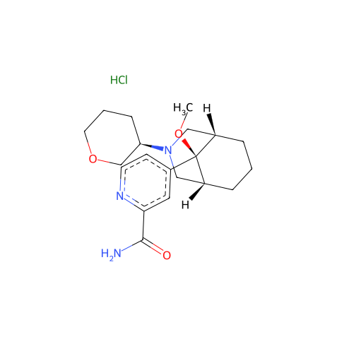 CO[C@]1(c2ccnc(C(N)=O)c2)[C@@H]2CCC[C@H]1CN([C@@H]1CCCOC1)C2.Cl